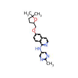 Cc1ncc(Nc2nccc3cc(OCC4CCC(C)(C)O4)ccc23)cn1